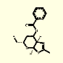 CC1=N[C@@H]2C(OC(=O)c3ccccc3)C[C@@H](CF)O[C@@H]2S1